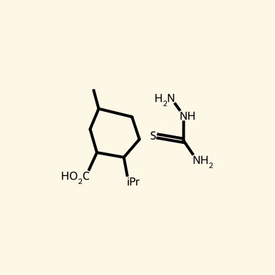 CC1CCC(C(C)C)C(C(=O)O)C1.NNC(N)=S